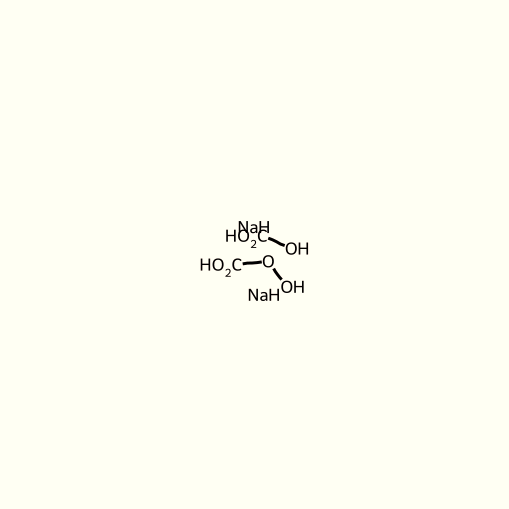 O=C(O)O.O=C(O)OO.[NaH].[NaH]